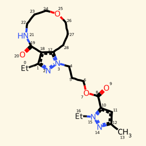 CCc1nn(CCCOC(=O)c2cc(C)nn2CC)c2c1C(=O)NCCCOCCC2